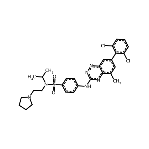 Cc1cc(-c2c(Cl)cccc2Cl)cc2nnc(Nc3ccc(S(=O)(=O)N(CCN4CCCC4)C(C)C)cc3)nc12